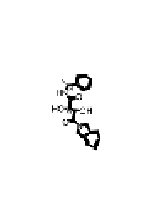 C[C@@H](NC(=O)[C@H](O)[C@@H](O)C(=O)N1Cc2ccccc2C1)c1ccccc1